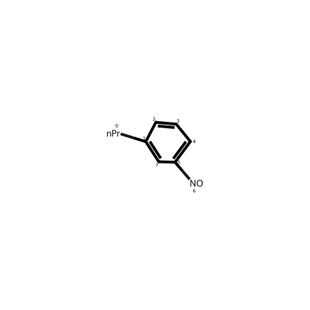 CCCc1cccc(N=O)c1